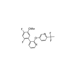 COc1cc(-c2cccnc2Oc2ccc(C(C)(F)F)nc2)c(F)cc1F